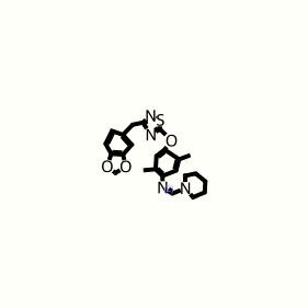 Cc1cc(Oc2nc(Cc3ccc4c(c3)OCO4)ns2)c(C)cc1/N=C\N1CCCCC1